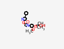 COc1cc(N2CCC(Oc3ccc(-c4ccccc4)cn3)C2=O)ccc1OCC(C)(C)O